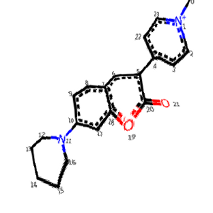 C[n+]1ccc(-c2cc3ccc(N4CCCCC4)cc3oc2=O)cc1